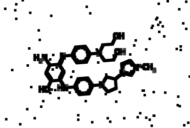 C[n+]1ccn(C2CCN(c3ccc(NC4=CC(=Nc5ccc(N(CCO)CCO)cc5)C(N)C=C4O)cc3)C2)c1